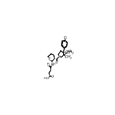 CC1(C)CN(C(=O)[C@H]2CCCC[C@H]2NC(=O)CCC(=O)O)CC[C@]1(O)c1ccc(Cl)cc1